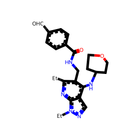 CCc1nc2c(cnn2CC)c(NC2CCOCC2)c1CNC(=O)c1ccc(C=O)cc1